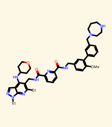 CCc1nc2c(cnn2CC)c(NC2CCOCC2)c1CNC(=O)c1cccc(C(=O)NCc2ccc(OC)c(-c3cccc(CN4CCCNCC4)c3)c2)n1